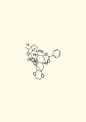 CC1OCCOC23C[C@H]4C[C@H](OC(=O)c5ccccc5)[C@@H]5C([C@H](O)C[C@]6(C)[C@@H]1CC[C@H]56)[C@@]4(C)CC2OCCO3